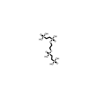 O=P(O)(O)CCP(=O)(O)OCCOP(=O)(O)CCP(=O)(O)O